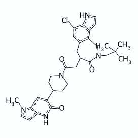 Cn1ccc2[nH]c(=O)c(C3CCN(C(=O)CC4Cc5cc(Cl)c6[nH]ccc6c5CN(CC(C)(C)C)C4=O)CC3)cc21